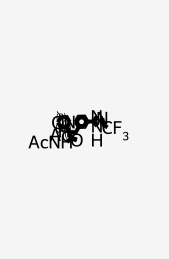 CC(=O)NC(=O)[C@]1(C(C)=O)Cc2cc(-c3nnc(C(F)(F)F)[nH]3)ccc2N2C[C@@H](C)O[C@@H](C)[C@@H]21